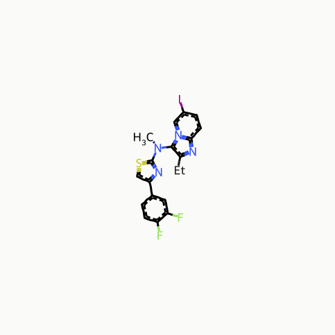 CCc1nc2ccc(I)cn2c1N(C)c1nc(-c2ccc(F)c(F)c2)cs1